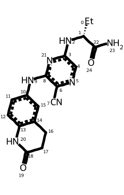 CC[C@@H](Nc1cnc(C#N)c(Nc2ccc3c(c2)CCC(=O)N3)n1)C(N)=O